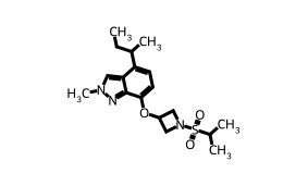 CCC(C)c1ccc(OC2CN(S(=O)(=O)C(C)C)C2)c2nn(C)cc12